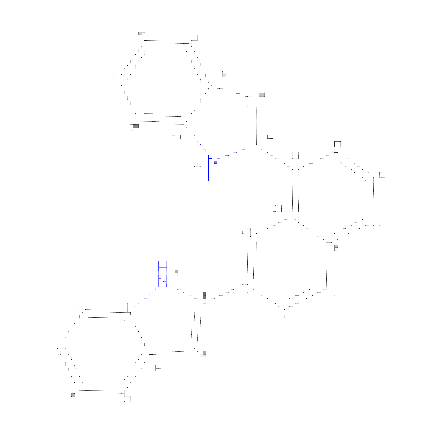 c1ccc2[nH]c(-c3ccc4cccc(-c5cc6ccccc6[nH]5)c4c3)cc2c1